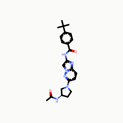 CC(=O)N[C@@H]1CCN(c2ccc3nc(NC(=O)c4ccc(C(C)(C)C)cc4)cn3n2)C1